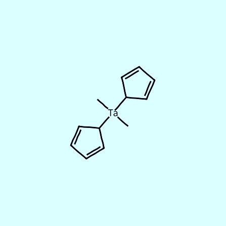 [CH3][Ta]([CH3])([CH]1C=CC=C1)[CH]1C=CC=C1